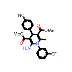 COC(=O)C1=C(C)N(c2cccc(C(F)(F)F)c2)C(N)=C(C(=O)OC)C1c1ccc(C#N)cc1